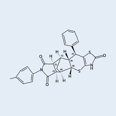 Cc1ccc(N2C(=O)[C@@H]3[C@H]4C[C@@H]([C@@H]3C2=O)[C@@H]2[C@@H](c3ccccc3)c3sc(=O)[nH]c3S[C@H]42)cc1